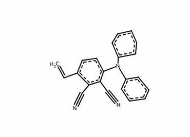 C=Cc1ccc(N(c2ccccc2)c2ccccc2)c(C#N)c1C#N